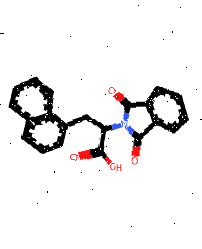 O=C(O)C(Cc1cccc2ccccc12)N1C(=O)c2ccccc2C1=O